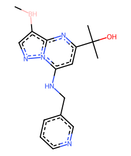 CBc1cnn2c(NCc3cccnc3)cc(C(C)(C)O)nc12